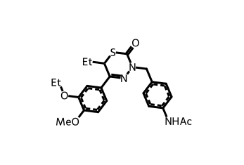 CCOc1cc(C2=NN(Cc3ccc(NC(C)=O)cc3)C(=O)SC2CC)ccc1OC